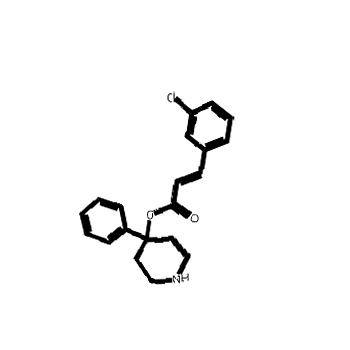 O=C(/C=C/c1cccc(Cl)c1)OC1(c2ccccc2)CCNCC1